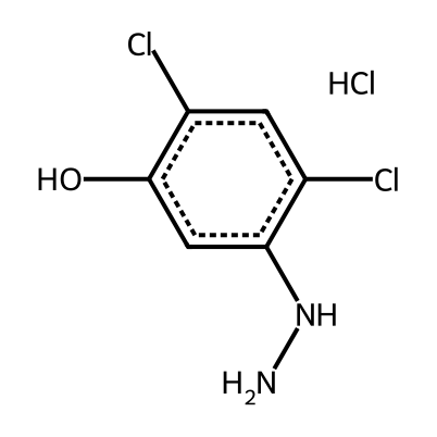 Cl.NNc1cc(O)c(Cl)cc1Cl